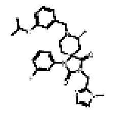 CC(C)Oc1cccc(CN2CC[C@@]3(C[C@@H]2C)C(=O)N(Cc2ncnn2C)C(=O)N3c2cccc(F)c2)c1